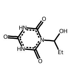 CCC(O)n1c(=O)[nH]c(=O)[nH]c1=O